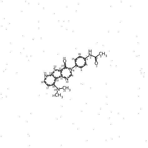 CC(=O)Nc1ccc(-n2cnc3c(sc4nccc(N(C)C)c43)c2=O)cc1